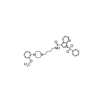 COc1ccccc1N1CCN(CCCCNC(=O)c2cn(S(=O)(=O)c3ccccc3)c3ncccc23)CC1